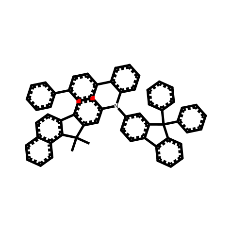 CC1(C)c2cc(N(c3ccc4c(c3)C(c3ccccc3)(c3ccccc3)c3ccccc3-4)c3ccccc3-c3ccc(-c4ccccc4)cc3)ccc2-c2ccc3ccccc3c21